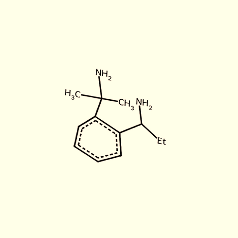 CCC(N)c1ccccc1C(C)(C)N